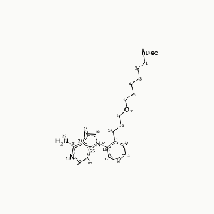 CCCCCCCCCCCCCCCCOCCCc1[c]cccc1-n1cnc2c(N)ncnc21